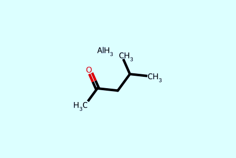 CC(=O)CC(C)C.[AlH3]